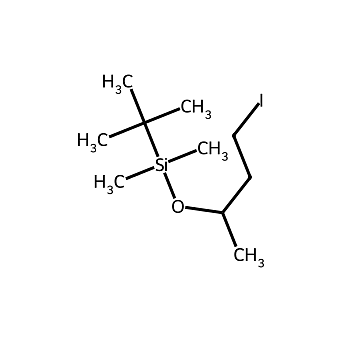 CC(CCI)O[Si](C)(C)C(C)(C)C